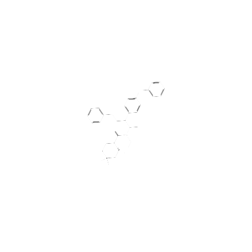 CC(C(CCc1ccccc1)c1ccc(Oc2ccccc2)cc1)N(CC(=O)O)C(=O)C1CCC(C(=O)O)(C(=O)O)CC1